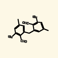 Cc1cc(Cc2cc(C)cc(C(C)(C)C)c2C=O)c(C=O)c(C(C)(C)C)c1